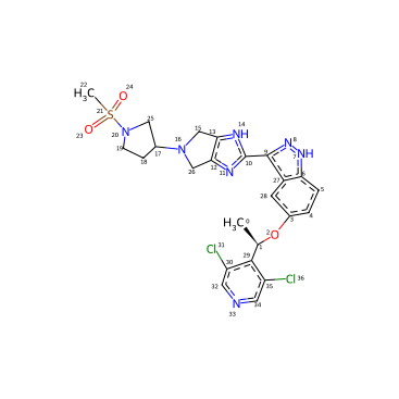 C[C@@H](Oc1ccc2[nH]nc(-c3nc4c([nH]3)CN(C3CCN(S(C)(=O)=O)C3)C4)c2c1)c1c(Cl)cncc1Cl